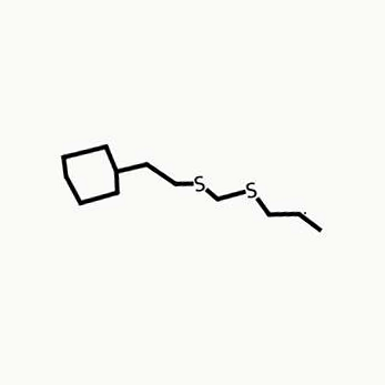 C[CH]CSCSCCC1CCCCC1